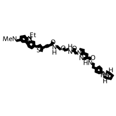 CCn1c2ccc(CNC)cc2c2ccc(-c3cc(C#CC(=O)NCCOCCNC(=O)Cn4ccc5cc(C(=O)NCCc6ccc(N7C[C@H]8CC[C@@H](C7)N8)cc6)cnc54)cs3)cc21